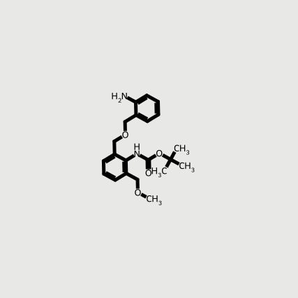 COCc1cccc(COCc2ccccc2N)c1NC(=O)OC(C)(C)C